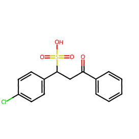 O=C(CC(c1ccc(Cl)cc1)S(=O)(=O)O)c1ccccc1